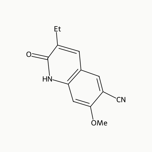 CCc1cc2cc(C#N)c(OC)cc2[nH]c1=O